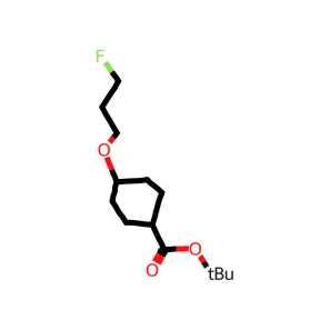 CC(C)(C)OC(=O)C1CCC(OCCCF)CC1